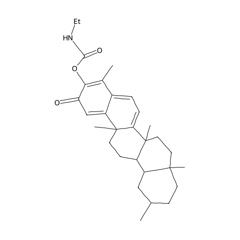 CCNC(=O)OC1=C(C)C2=CC=C3C(C)(CCC4C5CC(C)CCC5(C)CCC34C)C2=CC1=O